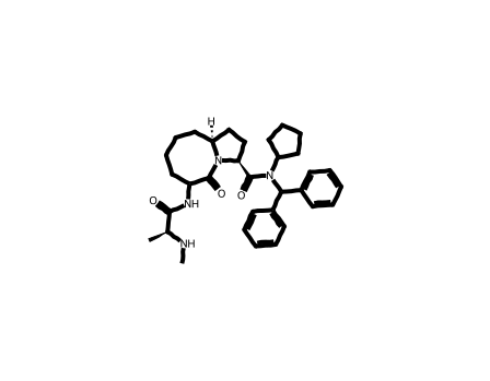 CN[C@@H](C)C(=O)NC1CCCC[C@H]2CC[C@@H](C(=O)N(C3CCCC3)C(c3ccccc3)c3ccccc3)N2C1=O